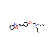 CCCCN(CCCC)CCOc1ccc(/C=C/c2nc3ccccc3o2)cc1